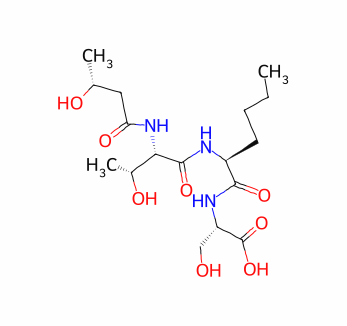 CCCC[C@H](NC(=O)[C@@H](NC(=O)C[C@@H](C)O)[C@@H](C)O)C(=O)N[C@@H](CO)C(=O)O